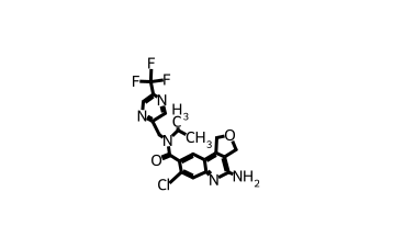 CC(C)N(Cc1cnc(C(F)(F)F)cn1)C(=O)c1cc2c3c(c(N)nc2cc1Cl)COC3